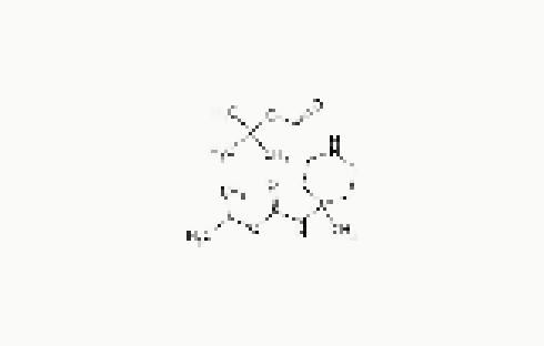 CC(C)(C)OC=O.CC(C)OC(=O)NC1(C)CCNCC1